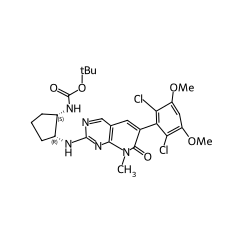 COc1cc(OC)c(Cl)c(-c2cc3cnc(N[C@@H]4CCC[C@@H]4NC(=O)OC(C)(C)C)nc3n(C)c2=O)c1Cl